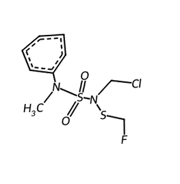 CN(c1ccccc1)S(=O)(=O)N(CCl)SCF